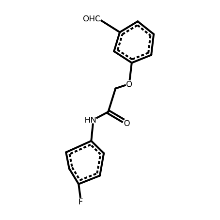 O=Cc1cccc(OCC(=O)Nc2ccc(F)cc2)c1